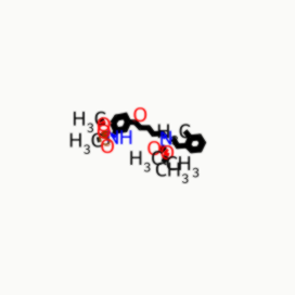 COc1ccc(C(=O)CCCCN(CCc2ccccc2C)C(=O)OC(C)(C)C)cc1NS(C)(=O)=O